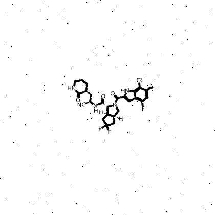 Cc1cc(F)c2cc(C(=O)N3C[C@H]4CC(F)(F)C[C@H]4[C@@H]3C(=O)N[C@@H](C#N)C[C@@H]3CCCNC3=O)[nH]c2c1Cl